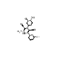 CC1=C(C#N)C(c2ccc(O)c(Cl)c2)C(C#N)=C(c2cccc(O)c2)N1